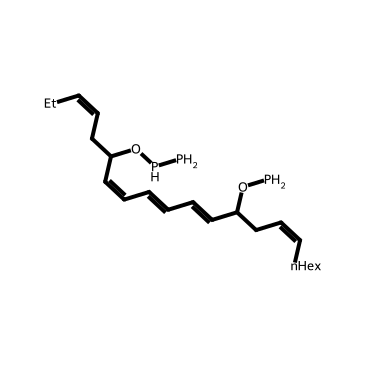 CC/C=C\CC(\C=C/C=C/C=C/C(C/C=C\CCCCCC)OP)OPP